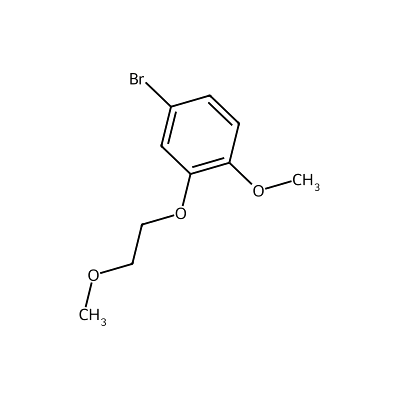 COCCOc1cc(Br)ccc1OC